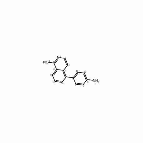 N#Cc1nccc2c(-c3ccc(N)cc3)cccc12